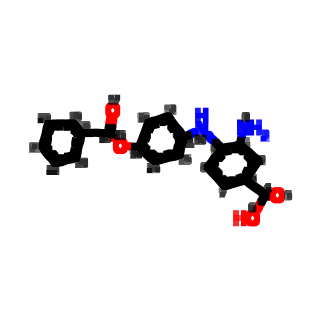 Nc1cc(C(=O)O)ccc1Nc1ccc(OC(=O)c2ccccc2)cc1